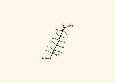 OC(=S)C(F)(F)C(F)(F)C(F)(F)C(F)(F)C(F)(F)C(F)(F)CF